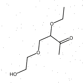 CCOC(COCCO)C(C)=O